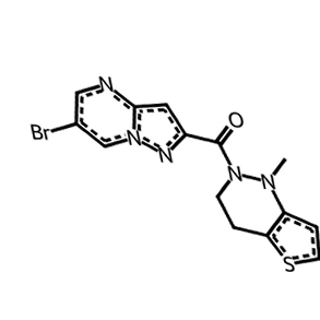 Cc1cc2c(s1)CCN(C(=O)c1cc3ncc(Br)cn3n1)N2C